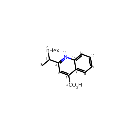 CCCCCCC(C)c1cc(C(=O)O)c2ccccc2n1